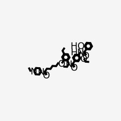 CCOc1cc(C(=O)N(CC)c2ccc(CC)cc2OCCCCCC(=O)N2CCN(CC)CC2)ccc1NC(=O)c1ccccc1O